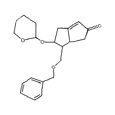 O=C1C=C2CC(OC3CCCCO3)C(COCc3ccccc3)C2C1